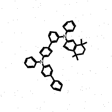 CC1(C)CCC(C)(C)c2cc(N(c3ccccc3)c3cccc(-c4ccc(N(c5ccccc5)c5ccc(-c6ccccc6)cc5)cc4)c3)ccc21